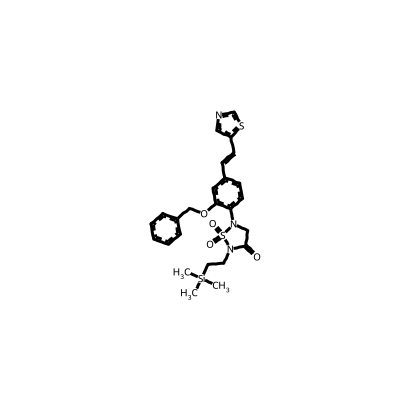 C[Si](C)(C)CCN1C(=O)CN(c2ccc(C=Cc3cncs3)cc2OCc2ccccc2)S1(=O)=O